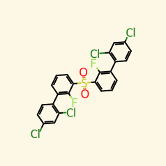 O=S(=O)(c1cccc(-c2ccc(Cl)cc2Cl)c1F)c1cccc(-c2ccc(Cl)cc2Cl)c1F